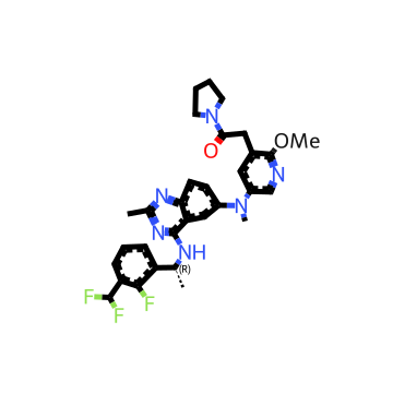 COc1ncc(N(C)c2ccc3nc(C)nc(N[C@H](C)c4cccc(C(F)F)c4F)c3c2)cc1CC(=O)N1CCCC1